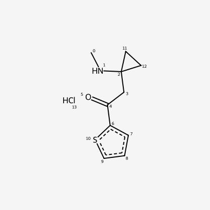 CNC1(CC(=O)c2cccs2)CC1.Cl